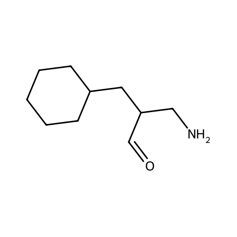 NCC(C=O)CC1CCCCC1